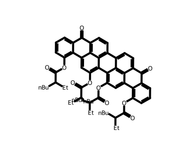 CCCCC(CC)C(=O)Oc1cccc2c1-c1cc(OC(=O)C(CC)CCCC)c3c4c(OC(=O)C(CC)CCCC)cc5c6c(ccc(c7ccc(c1c73)C2=O)c64)C(=O)c1cccc(OC(=O)C(CC)CCCC)c1-5